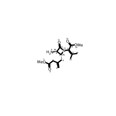 C=C(CC(=O)OC)C[C@@H]1[C@@H](N)C(=O)N1C(C(=O)OC)=C(C)C